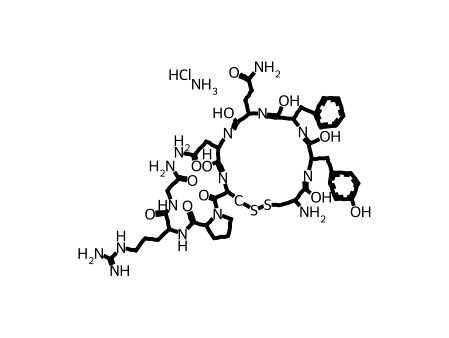 Cl.N.N=C(N)NCCCC(NC(=O)C1CCCN1C(=O)C1CSSCC(N)C(O)=NC(Cc2ccc(O)cc2)C(O)=NC(Cc2ccccc2)C(O)=NC(CCC(N)=O)C(O)=NC(CC(N)=O)C(O)=N1)C(=O)NCC(N)=O